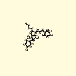 CCCCC1C=C(S(=O)(=O)c2ccc(C)cc2)C(=O)/C1=C\C=C\c1ccccc1